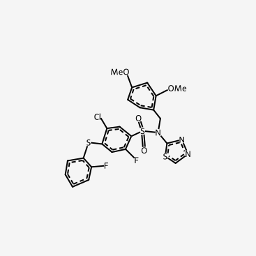 COc1ccc(CN(c2nncs2)S(=O)(=O)c2cc(Cl)c(Sc3ccccc3F)cc2F)c(OC)c1